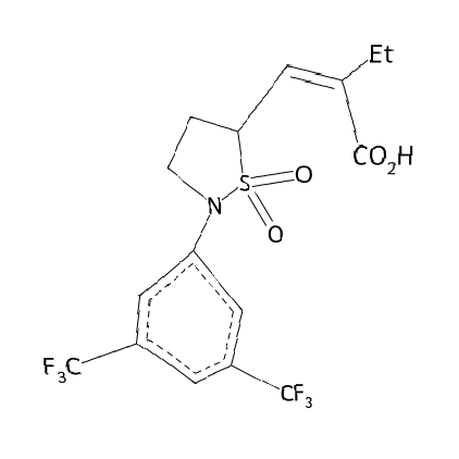 CCC(=CC1CCN(c2cc(C(F)(F)F)cc(C(F)(F)F)c2)S1(=O)=O)C(=O)O